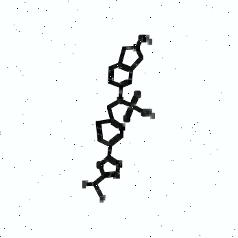 CN1Cc2ccc(N(Cc3ccc(-c4nnc(C(F)F)o4)cn3)S(C)(=O)=O)cc2C1